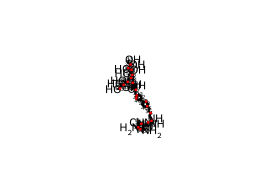 N=C(NCCCCc1ccc(-c2ccc(CCC(=O)NCCN(CC(O)C(O)C(O)C(O)CO)CC(O)C(O)C(O)C(O)CO)cc2)cc1)NC(=O)c1nc(Cl)c(N)nc1N